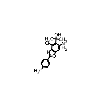 Cc1ccc(-c2nc3c(Cl)c(C(C)(C)O)c(N)cc3o2)cc1